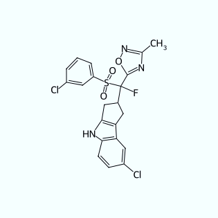 Cc1noc(C(F)(C2Cc3[nH]c4ccc(Cl)cc4c3C2)S(=O)(=O)c2cccc(Cl)c2)n1